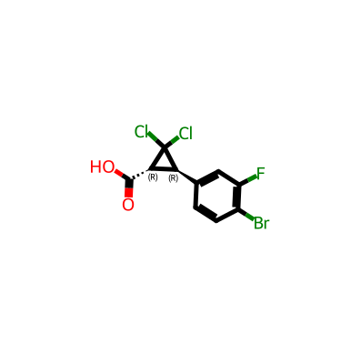 O=C(O)[C@H]1[C@H](c2ccc(Br)c(F)c2)C1(Cl)Cl